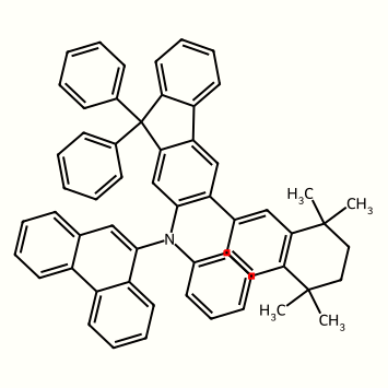 CC1(C)CCC(C)(C)c2cc(-c3cc4c(cc3N(c3ccccc3)c3cc5ccccc5c5ccccc35)C(c3ccccc3)(c3ccccc3)c3ccccc3-4)ccc21